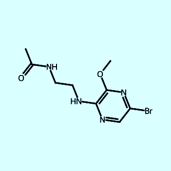 COc1nc(Br)cnc1NCCNC(C)=O